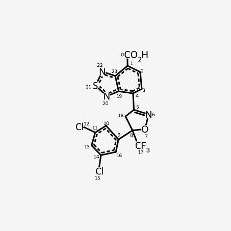 O=C(O)c1ccc(C2=NOC(c3cc(Cl)cc(Cl)c3)(C(F)(F)F)C2)c2nsnc12